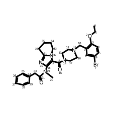 CCOc1ccc(Br)cc1CN1CCN(C(=O)c2c(N(C)C(=O)Cc3ccccc3)nc3n2CCCC3)CC1